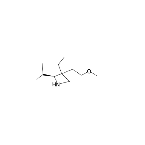 CCC1(CCOC)CN[C@H]1C(C)C